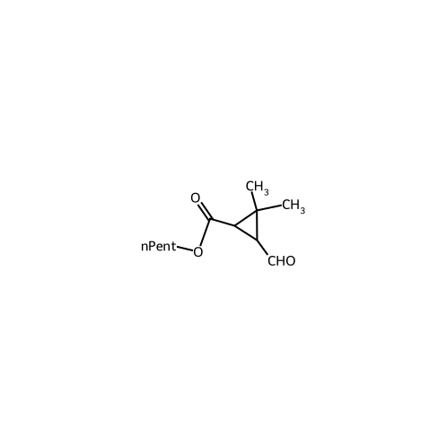 CCCCCOC(=O)C1C(C=O)C1(C)C